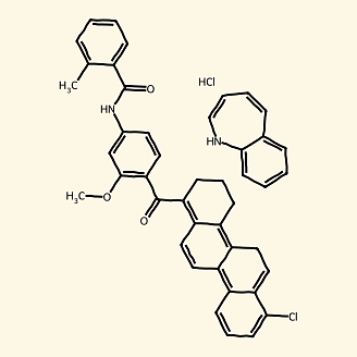 C1=CNc2ccccc2C=C1.COc1cc(NC(=O)c2ccccc2C)ccc1C(=O)C1=c2ccc3c(c2CCC1)CC=c1c(Cl)cccc1=3.Cl